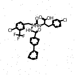 O=C(NN(Cc1ccc(Cl)c(C(F)(F)F)c1)C(=O)NC(Cc1ccc(Cl)cc1)C(=O)O)c1ccc(-c2ccccc2)cc1